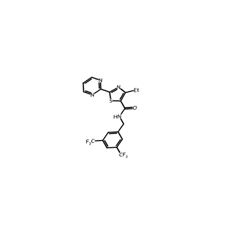 CCc1nc(-c2ncccn2)sc1C(=O)NCc1cc(C(F)(F)F)cc(C(F)(F)F)c1